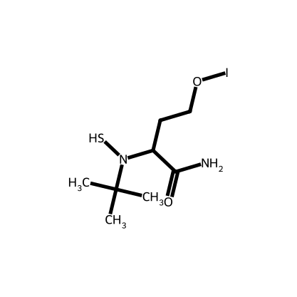 CC(C)(C)N(S)C(CCOI)C(N)=O